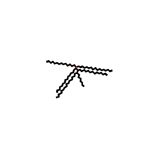 C=CCCCCCCCCCCCCC=CCC(CCCCCCCCCCCCC=C)C(CCCCCCCCCCCCC=C)C(CCCCCCCCCCCCC=C)C(CCCCCCC)CCCCCCCCCCC=CCCC